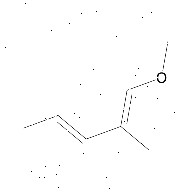 CC=CC(C)=COC